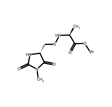 CC(C)OC(=O)[C@H](C)NSC[C@H]1NC(=O)N(C)C1=O